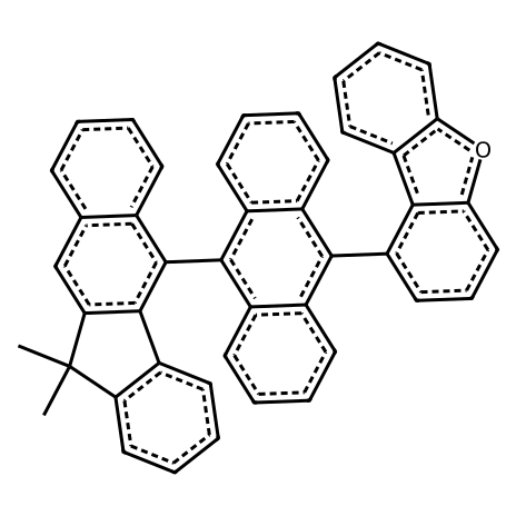 CC1(C)c2ccccc2-c2c1cc1ccccc1c2-c1c2ccccc2c(-c2cccc3oc4ccccc4c23)c2ccccc12